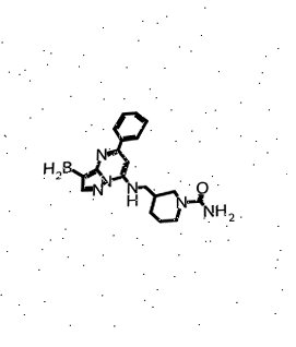 Bc1cnn2c(NCC3CCCN(C(N)=O)C3)cc(-c3ccccc3)nc12